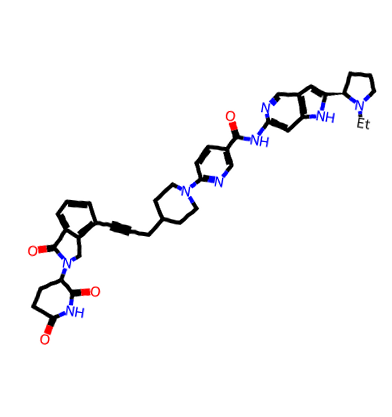 CCN1CCC[C@@H]1c1cc2cnc(NC(=O)c3ccc(N4CCC(CC#Cc5cccc6c5CN(C5CCC(=O)NC5=O)C6=O)CC4)nc3)cc2[nH]1